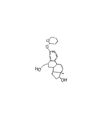 C[C@]12CCC3c4ccc(OC5CCCCO5)cc4C(CO)CC3C1CC[C@@H]2O